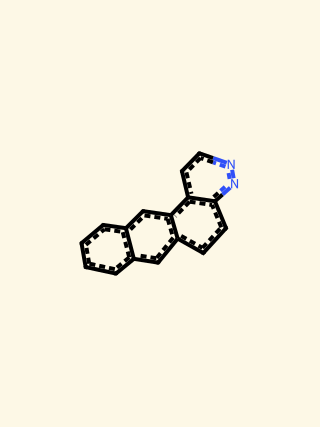 c1ccc2cc3c(ccc4nnccc43)cc2c1